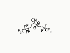 N#CC(CCC(F)(F)C(F)(F)C(F)(F)F)S(=O)(=O)CCC(F)(F)C(F)(F)F